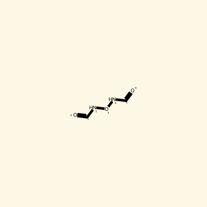 O=CNONC=O